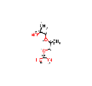 CC(O)COC(C)COB(O)O